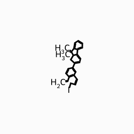 C=Cc1ccc(C2=CC=C3c4ccccc4C(C)(C)C3C2)cc1/C=C\CI